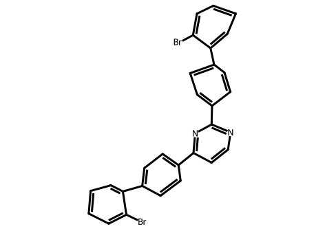 Brc1ccccc1-c1ccc(-c2ccnc(-c3ccc(-c4ccccc4Br)cc3)n2)cc1